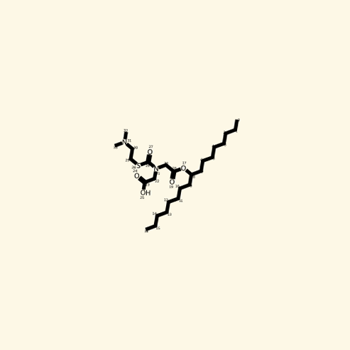 CCCCCCCCC(CCCCCCCC)OC(=O)CN(CC(=O)O)C(=O)SCCN(C)C